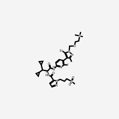 CCc1c(-c2ccc(NC(=O)[C@@H](NC(=O)c3ccnn3CCCS(C)(=O)=O)C(C3CC3)C3CC3)nc2F)c(C)nn1COCC[Si](C)(C)C